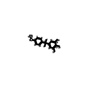 CCOc1ccc(C(C)(C)c2cc(C)c(C)c(C)c2)cc1